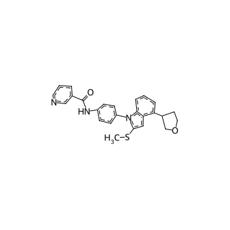 CSc1cc2c(C3CCOC3)cccc2n1-c1ccc(NC(=O)c2cccnc2)cc1